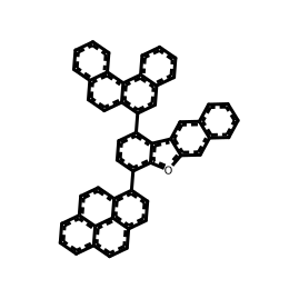 c1ccc2cc3c(cc2c1)oc1c(-c2ccc4ccc5cccc6ccc2c4c56)ccc(-c2cc4ccccc4c4c2ccc2ccccc24)c13